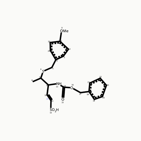 COc1ccc(CSC(C)C(/C=C/S(=O)(=O)O)NC(=O)OCc2ccccc2)cc1